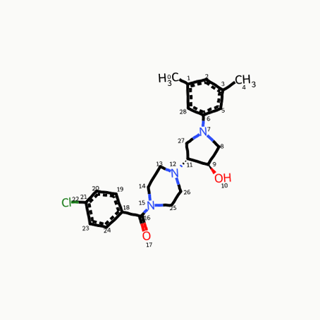 Cc1cc(C)cc(N2C[C@@H](O)[C@H](N3CCN(C(=O)c4ccc(Cl)cc4)CC3)C2)c1